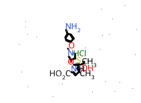 CC1C=C(C(=O)O)N2C(=O)[C@](SC3CCN(COc4ccc(CN)cc4)C3)(C(C)O)[C@H]12.Cl